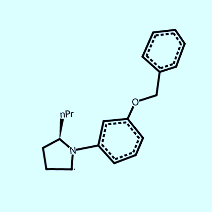 CCC[C@@H]1CC[CH]N1c1cccc(OCc2ccccc2)c1